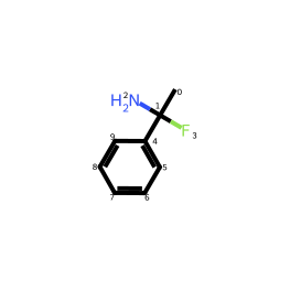 CC(N)(F)c1ccccc1